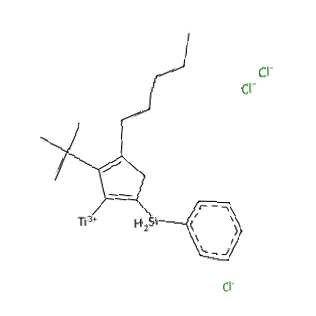 CCCCCC1=C(C(C)(C)C)[C]([Ti+3])=C([SiH2]c2ccccc2)C1.[Cl-].[Cl-].[Cl-]